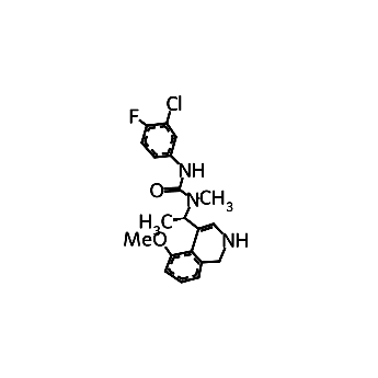 COc1cccc2c1C([C@@H](C)N(C)C(=O)Nc1ccc(F)c(Cl)c1)=CNC2